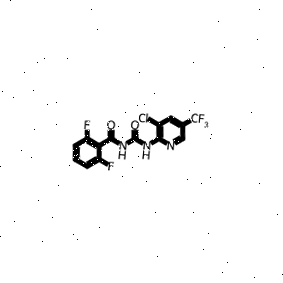 O=C(NC(=O)c1c(F)cccc1F)Nc1ncc(C(F)(F)F)cc1Cl